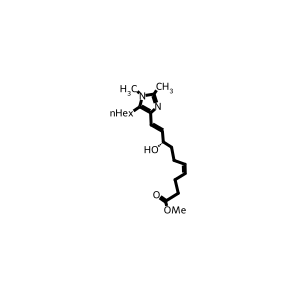 CCCCCCc1c(/C=C/[C@@H](O)CC/C=C\CCC(=O)OC)nc(C)n1C